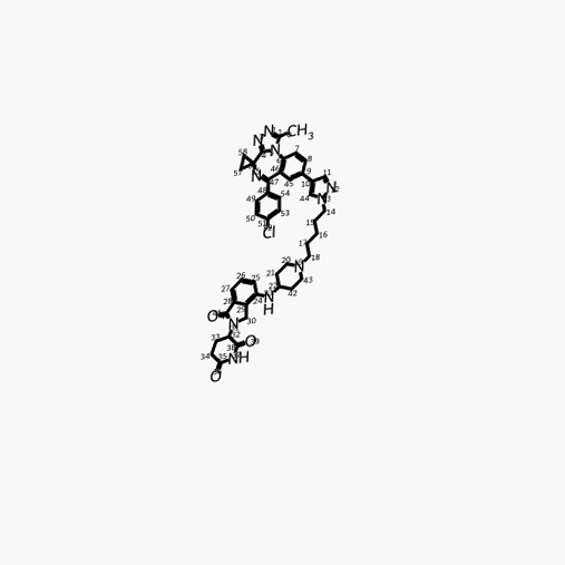 Cc1nnc2n1-c1ccc(-c3cnn(CCCCCN4CCC(Nc5cccc6c5CN(C5CCC(=O)NC5=O)C6=O)CC4)c3)cc1C(c1ccc(Cl)cc1)=NC21CC1